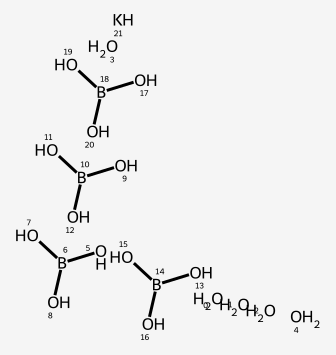 O.O.O.O.O.OB(O)O.OB(O)O.OB(O)O.OB(O)O.[KH]